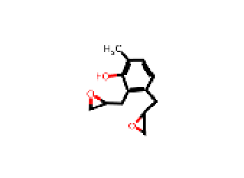 Cc1ccc(CC2CO2)c(CC2CO2)c1O